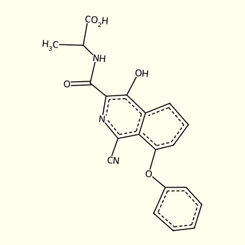 CC(NC(=O)c1nc(C#N)c2c(Oc3ccccc3)cccc2c1O)C(=O)O